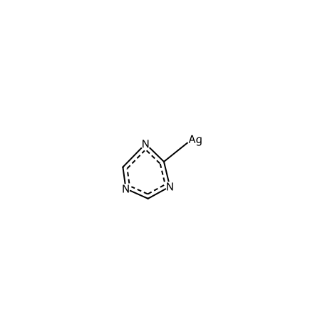 [Ag][c]1ncncn1